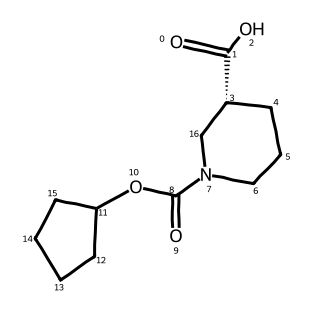 O=C(O)[C@@H]1CCCN(C(=O)OC2CCCC2)C1